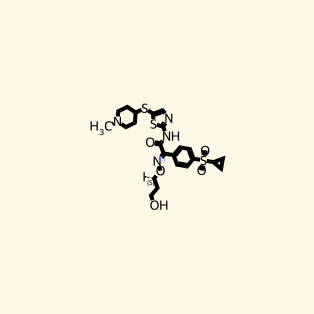 CN1CCC(Sc2cnc(NC(=O)/C(=N/O[C@@H](I)CCO)c3ccc(S(=O)(=O)C4CC4)cc3)s2)CC1